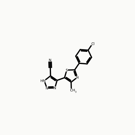 Cc1nc(-c2ccc(Cl)cc2)sc1-c1nn[nH]c1C#N